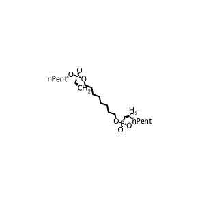 C=CP(=O)(OCCCCC)OCCCCCCCCOP(=O)(C=C)OCCCCC